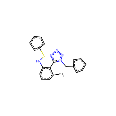 Cc1cccc(NSc2ccccc2)c1-c1nnnn1Cc1ccccc1